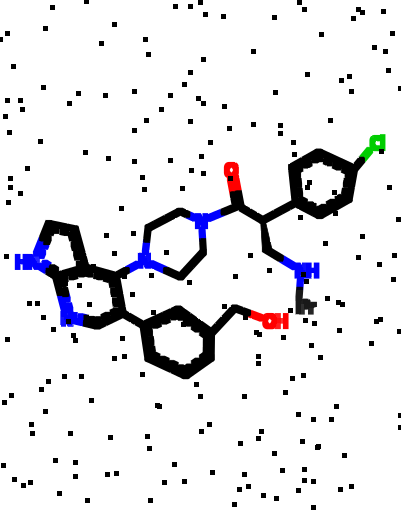 CC(C)NC[C@@H](C(=O)N1CCN(c2c(-c3cccc(CO)c3)cnc3[nH]ccc23)CC1)c1ccc(Cl)cc1